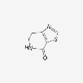 O=C1NCCc2ncsc21